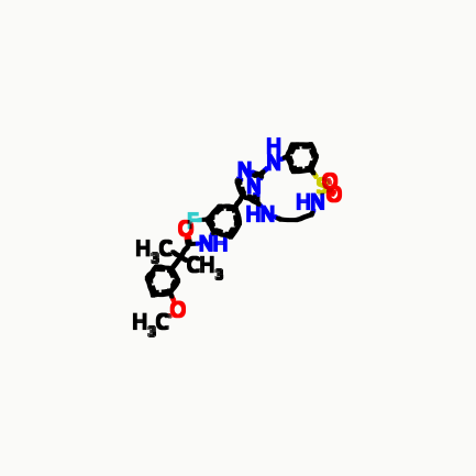 COc1cccc(C(C)(C)C(=O)Nc2ccc(-c3cnc4nc3NCCCNS(=O)(=O)c3cccc(c3)N4)cc2F)c1